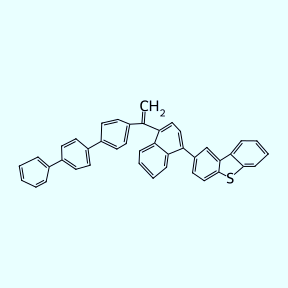 C=C(c1ccc(-c2ccc(-c3ccccc3)cc2)cc1)c1ccc(-c2ccc3sc4ccccc4c3c2)c2ccccc12